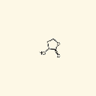 O=C1OCCC1O